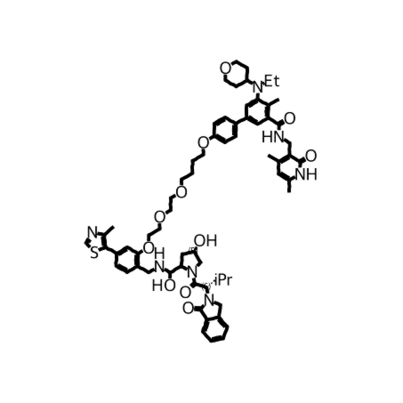 CCN(c1cc(-c2ccc(OCCCCOCCOCCOc3cc(-c4scnc4C)ccc3CNC(O)C3C[C@@H](O)CN3C(=O)[C@H](C(C)C)N3Cc4ccccc4C3=O)cc2)cc(C(=O)NCc2c(C)cc(C)[nH]c2=O)c1C)C1CCOCC1